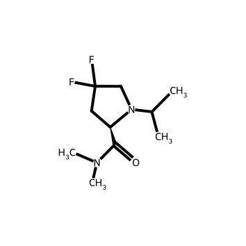 CC(C)N1CC(F)(F)C[C@@H]1C(=O)N(C)C